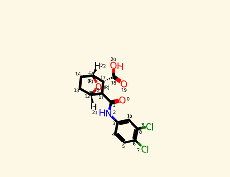 O=C(Nc1ccc(Cl)c(Cl)c1)C1[C@@H]2CC[C@@H](O2)[C@@H]1C(=O)O